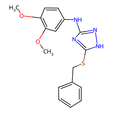 COc1ccc(Nc2n[nH]c(SCc3ccccc3)n2)cc1OC